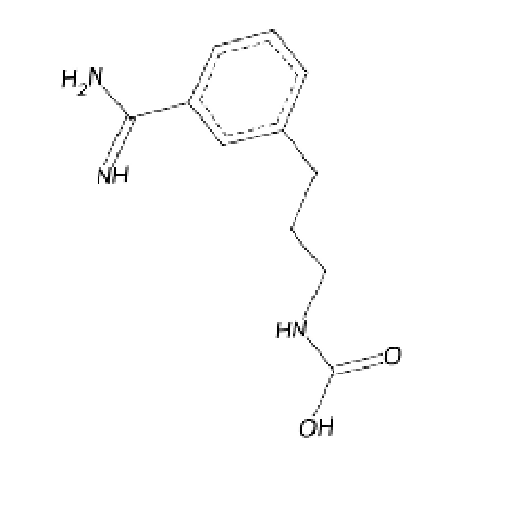 N=C(N)c1cccc(CCCNC(=O)O)c1